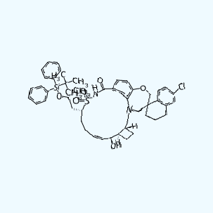 C[C@H](C[C@H]1CC/C=C\[C@H](O)[C@@H]2CC[C@H]2CN2C[C@@]3(CCCc4cc(Cl)ccc43)COc3ccc(cc32)C(=O)NS1(=O)=O)O[Si](c1ccccc1)(c1ccccc1)C(C)(C)C